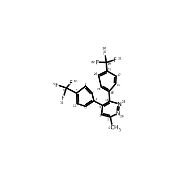 Cc1cc(-c2ccc(C(F)(F)F)cc2)c(-c2ccc(C(F)(F)F)cc2)nn1